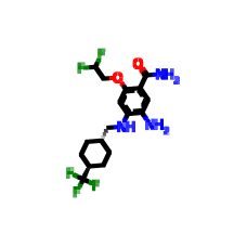 NC(=O)c1cc(N)c(NC[C@H]2CC[C@H](C(F)(F)F)CC2)cc1OCC(F)F